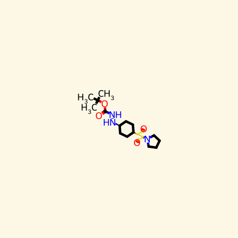 CC(C)(C)OC(=O)NN[C@H]1CC[C@@H](S(=O)(=O)N2CCCC2)CC1